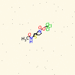 CC(=O)Nc1cc2c(s1)CCN(C(=O)OCC(Cl)(Cl)Cl)C2